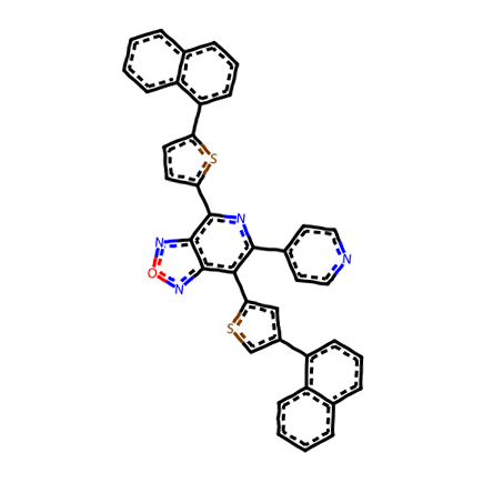 c1ccc2c(-c3csc(-c4c(-c5ccncc5)nc(-c5ccc(-c6cccc7ccccc67)s5)c5nonc45)c3)cccc2c1